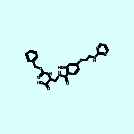 O=C(NC(CNC(=O)c1ccc(OCCNc2ncccn2)cc1O)C(=O)O)OCc1ccccc1